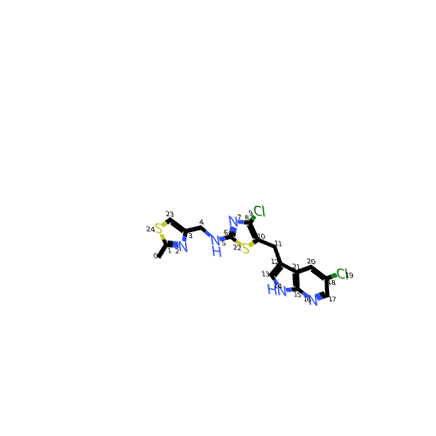 Cc1nc(CNc2nc(Cl)c(Cc3c[nH]c4ncc(Cl)cc34)s2)cs1